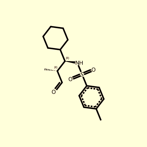 Cc1ccc(S(=O)(=O)N[C@H](C2CCCCC2)[C@@H](C)C=O)cc1